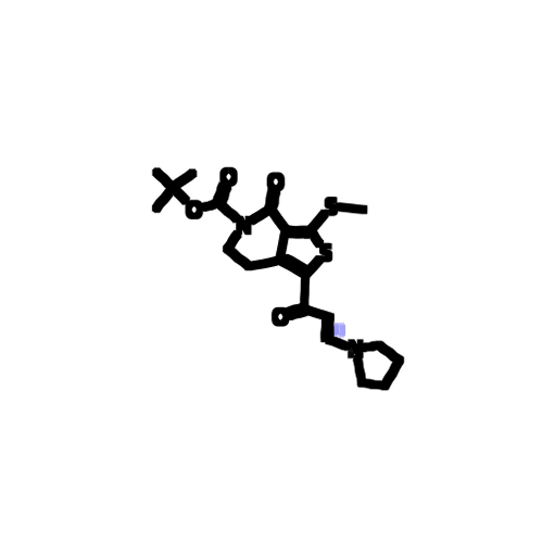 CSc1sc(C(=O)/C=C/N2CCCC2)c2c1C(=O)N(C(=O)OC(C)(C)C)CC2